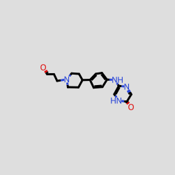 O=CCCN1CCC(c2ccc(Nc3c[nH]c(=O)cn3)cc2)CC1